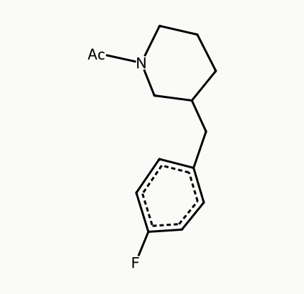 [CH2]C(=O)N1CCCC(Cc2ccc(F)cc2)C1